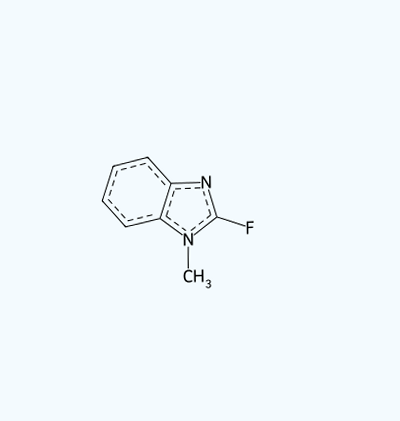 Cn1c(F)nc2ccccc21